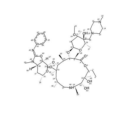 CC[C@H]1OC(=O)[C@H](C)[C@@H](O[C@H]2C[C@@](C)(OC)[C@](O)(CN3CCN(C)CC3)[C@H](C)O2)[C@H](C)[C@@H](O[C@@H]2O[C@H](C)C[C@H]3[C@H]2O/C(=N\c2ccccc2)N3C)[C@](C)(O)C[C@@H](C)CN[C@H](C)[C@@H](O)[C@]1(C)O